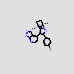 Fc1ccc(-c2nn3c(c2-c2ccnc4[nH]ncc24)[C@H]2CC[C@@H]3C2)cc1